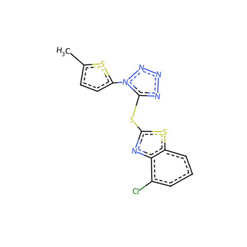 Cc1ccc(-n2nnnc2Sc2nc3c(Cl)cccc3s2)s1